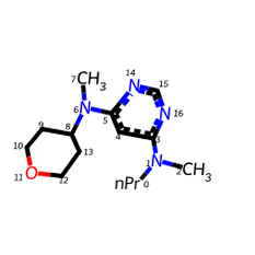 CCCN(C)c1cc(N(C)C2CCOCC2)ncn1